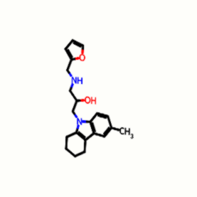 Cc1ccc2c(c1)c1c(n2CC(O)CNCc2ccco2)CCCC1